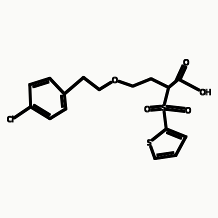 O=C(O)C(CCOCCc1ccc(Cl)cc1)S(=O)(=O)c1cccs1